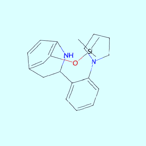 C[Si](C)(C)Oc1cc2ccc1NC(c1ccccc1N1CCCC1)C2